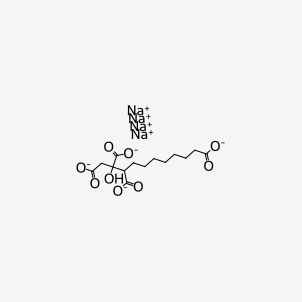 O=C([O-])CCCCCCCC(C(=O)[O-])C(O)(CC(=O)[O-])C(=O)[O-].[Na+].[Na+].[Na+].[Na+]